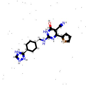 N#Cc1c(-c2cccs2)nc(NC[C@H]2CC[C@H](c3nnc[nH]3)CC2)[nH]c1=O